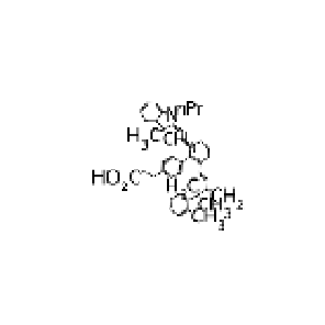 C=C(/C=C/C1=C(c2ccc(CCC(=O)O)cc2)C(=C/C=C2/N(CCC)c3ccccc3C2(C)C)/CCC1)C(C)(C)c1ccccc1C